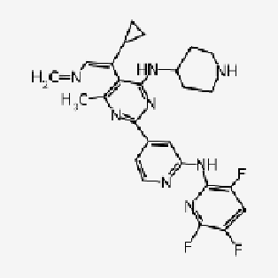 C=N/C=C(\c1c(C)nc(-c2ccnc(Nc3nc(F)c(F)cc3F)c2)nc1NC1CCNCC1)C1CC1